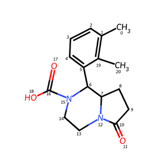 Cc1cccc(C2C3CCC(=O)N3CCN2C(=O)O)c1C